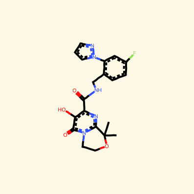 CC1(C)OCCn2c1nc(C(=O)NCc1ccc(F)cc1-n1cccn1)c(O)c2=O